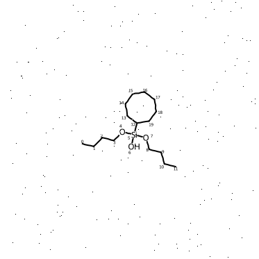 CCCCO[Si](O)(OCCCC)C1CCCCCCC1